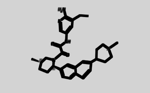 CCc1cc(NC(=O)C(=O)N2C[C@@H](C)CC[C@@H]2c2ccc3ccc(C4CCN(C)CC4)cc3c2)cnc1N